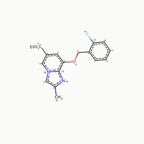 CCOC(=O)c1cc(OCc2ccccc2F)c2nc(C)cn2c1